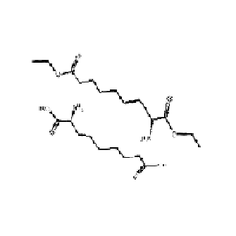 CCOC(=O)CCCCCCC(N)C(=O)OCC.N[C@@H](CCCCCCC(=O)O)C(=O)O